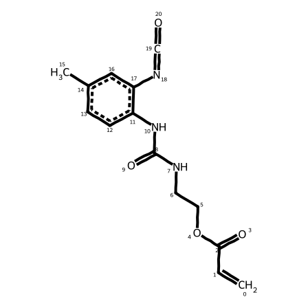 C=CC(=O)OCCNC(=O)Nc1ccc(C)cc1N=C=O